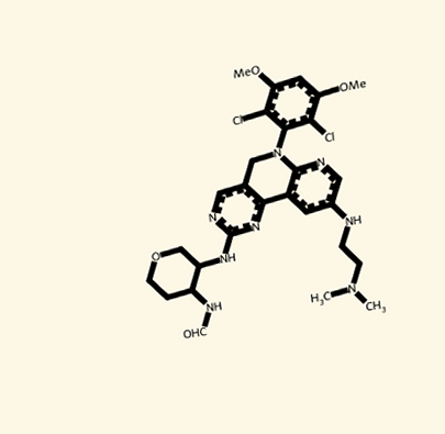 COc1cc(OC)c(Cl)c(N2Cc3cnc(NC4COCCC4NC=O)nc3-c3cc(NCCN(C)C)cnc32)c1Cl